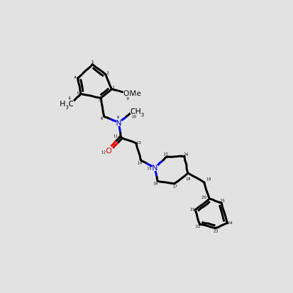 COc1cccc(C)c1CN(C)C(=O)CCN1CCC(Cc2ccccc2)CC1